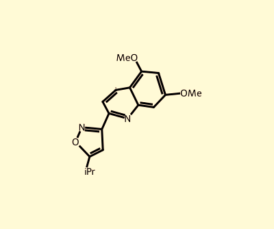 COc1cc(OC)c2[c]cc(-c3cc(C(C)C)on3)nc2c1